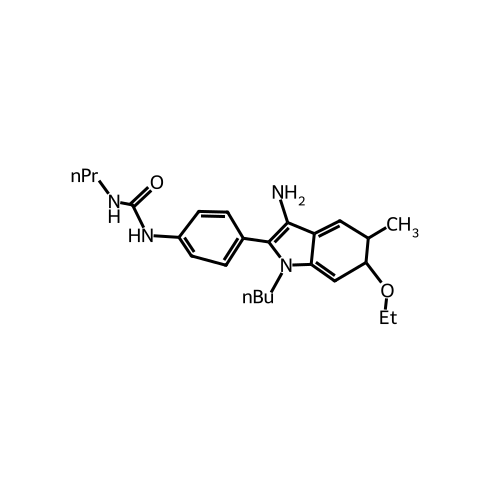 CCCCn1c(-c2ccc(NC(=O)NCCC)cc2)c(N)c2c1=CC(OCC)C(C)C=2